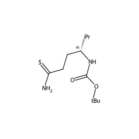 CC(C)[C@@H](CCC(N)=S)NC(=O)OC(C)(C)C